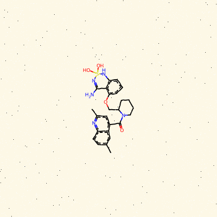 Cc1ccc2nc(C)cc(C(=O)N3CCCCC3COc3cccc4c3C(N)=NS(O)(O)N4)c2c1